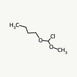 CCCCOC(Cl)OC